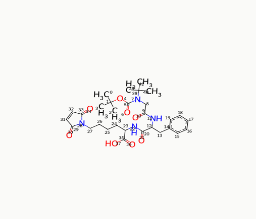 CC(C)(C)OC(=O)N(CC(=O)NC(Cc1ccccc1)C(=O)NC(CCCCN1C(=O)C=CC1=O)C(=O)O)C(C)(C)C